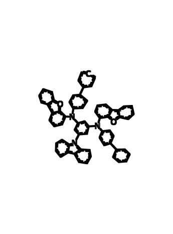 c1ccc(-c2ccc(N(c3cc(N(c4ccc(-c5ccccc5)cc4)c4cccc5c4oc4ccccc45)cc(-n4c5ccccc5c5ccccc54)c3)c3cccc4c3oc3ccccc34)cc2)cc1